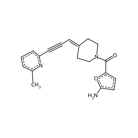 Cc1cccc(C#CC=C2CCN(C(=O)c3ccc(N)o3)CC2)n1